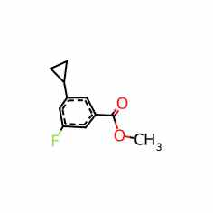 COC(=O)c1cc(F)cc(C2CC2)c1